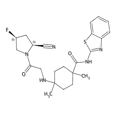 CC1(NCC(=O)N2C[C@@H](F)C[C@H]2C#N)CCC(C)(C(=O)Nc2nc3ccccc3s2)CC1